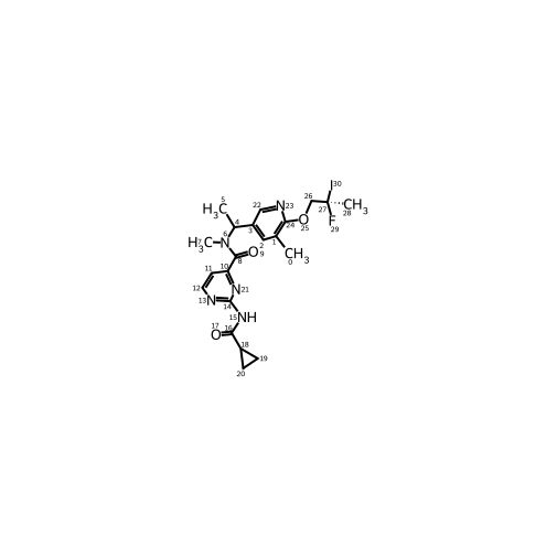 Cc1cc(C(C)N(C)C(=O)c2ccnc(NC(=O)C3CC3)n2)cnc1OC[C@](C)(F)I